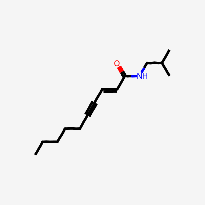 CCCCCC#CC=CC(=O)NCC(C)C